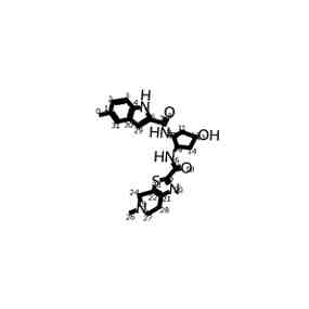 Cc1ccc2[nH]c(C(=O)N[C@@H]3CC(O)C[C@H]3NC(=O)c3nc4c(s3)CN(C)CC4)cc2c1